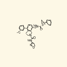 COc1cccc(-c2ccc(CNC(=O)[C@@H]3C[C@H]3c3ccccc3)c3c2CCN(C(=O)Nc2ccon2)C3)c1